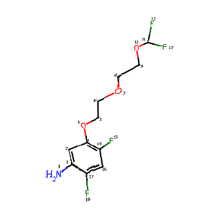 Nc1cc(OCCOCCOC(F)F)c(F)cc1F